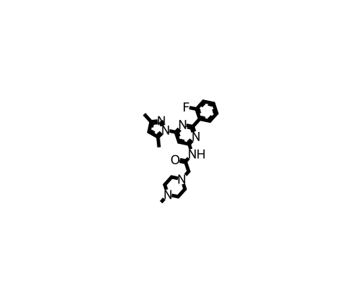 Cc1cc(C)n(-c2cc(NC(=O)CN3CCN(C)CC3)nc(-c3ccccc3F)n2)n1